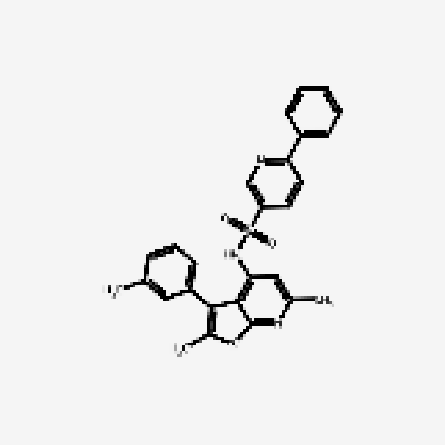 Cc1cccc(-c2c(C)sc3nc(C)cc(NS(=O)(=O)c4ccc(-c5ccccc5)nc4)c23)c1